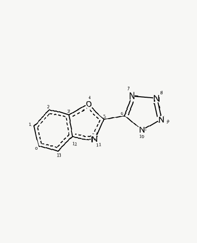 c1ccc2oc(C3=NN=N[N]3)nc2c1